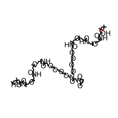 CC(C)(C)CC(C)(C)CC(O)C(=O)NC(C)(C)CCOC(C)(C)CCNC(=O)CCC(C)(C)OCCC(C)(C)NC(=O)CCOCCOCCOCCOCCN(CCOCCOCCOCCOCCC(=O)NC(C)(C)CCOC(C)(C)CCC(=O)NCCC(C)(C)OCCC(C)(C)NC(=O)C(O)CC(C)(C)CC(C)(C)C)C(=O)CCN1C(=O)C=CC1=O